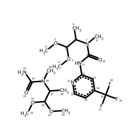 COC(OC)C(C)N(C)C(=O)Nc1cc(C(F)(F)F)ccn1.COC(OC)C(C)N(C)C(N)=O